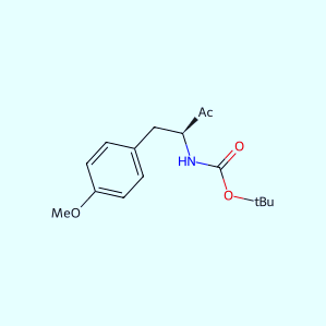 COc1ccc(C[C@H](NC(=O)OC(C)(C)C)C(C)=O)cc1